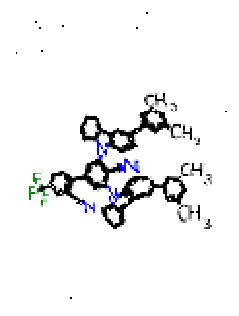 Cc1cc(C)cc(-c2ccc3c(c2)c2ccccc2n3-c2cc(-c3ccc(C(F)(F)F)cc3C#N)cc(-n3c4ccccc4c4cc(-c5cc(C)cc(C)c5)ccc43)c2C#N)c1